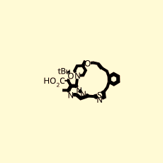 Cc1nc2cc3nn2c(c1[C@H](OC(C)(C)C)C(=O)O)N1CCC(C)(CC1)OC/C=C/Cc1ccccc1Cc1cnc-3s1